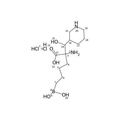 Cl.Cl.NC(CCCCB(O)O)(C(=O)O)C(O)C1CCCNC1